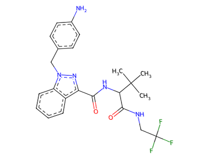 CC(C)(C)C(NC(=O)c1nn(Cc2ccc(N)cc2)c2ccccc12)C(=O)NCC(F)(F)F